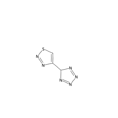 c1snnc1C1N=NN=N1